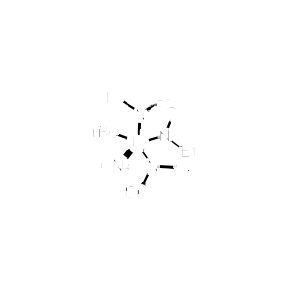 CC[N](CC)[Ta](=[NH])([N](CC)CC)([N](CC)CC)[C](C)(C)C